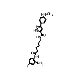 CNc1ccc(-c2cc(C(=O)NCCCCCC(=O)Nc3ccc(F)cc3N)[nH]n2)cc1